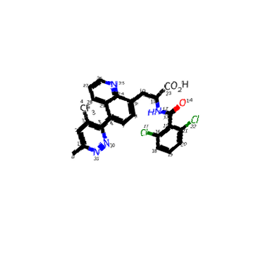 Cc1cc(C(F)(F)F)c(-c2ccc(CC(NC(=O)c3c(Cl)cccc3Cl)C(=O)O)c3ncccc23)nn1